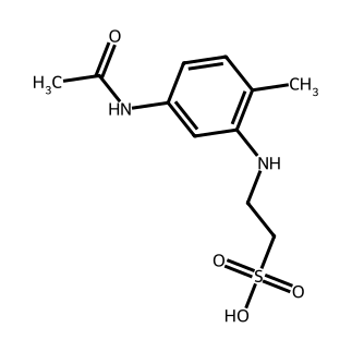 CC(=O)Nc1ccc(C)c(NCCS(=O)(=O)O)c1